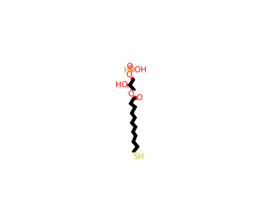 O=C(CCCCCCCCCCCS)OC[C@@H](O)CO[PH](=O)O